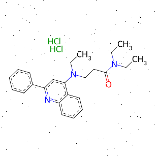 CCN(CC)C(=O)CCN(CC)c1cc(-c2ccccc2)nc2ccccc12.Cl.Cl